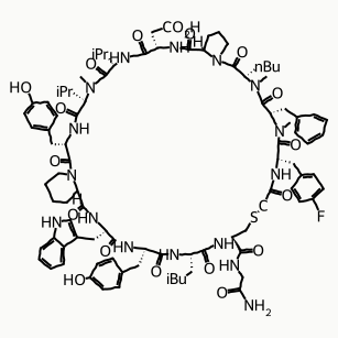 CCCC[C@H]1C(=O)N2CCC[C@@H]2C(=O)N[C@@H](CC(=O)O)C(=O)N[C@@H](C(C)C)C(=O)N(C)[C@@H](C(C)C)C(=O)N[C@@H](Cc2ccc(O)cc2)C(=O)N2CCCC[C@@H]2C(=O)N[C@@H](Cc2c[nH]c3ccccc23)C(=O)N[C@@H](Cc2ccc(O)cc2)C(=O)N[C@@H](CC(C)CC)C(=O)N[C@H](C(=O)NCC(N)=O)CSCC(=O)N[C@@H](Cc2ccc(F)cc2)C(=O)N(C)[C@@H](Cc2ccccc2)C(=O)N1C